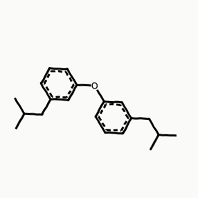 CC(C)Cc1cccc(Oc2cccc(CC(C)C)c2)c1